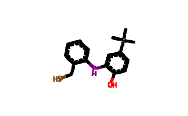 C[Si](C)(C)c1ccc(O)c(Pc2ccccc2CS)c1